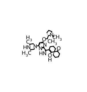 C[C@H](Oc1cc(N2C[C@H](C)N[C@@H](C)C2)nc(C(=N)C2=C(O)[C@]3(CCCCC3=O)CCC2)n1)[C@@H]1CCCN1C